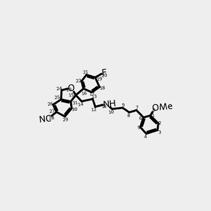 COc1ccccc1CCCCNCCCC1(c2ccc(F)cc2)OCc2cc(C#N)ccc21